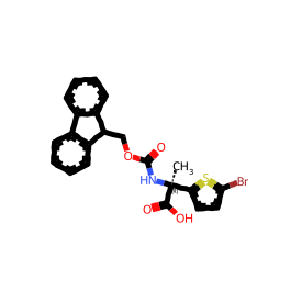 C[C@@](NC(=O)OCC1c2ccccc2-c2ccccc21)(C(=O)O)c1ccc(Br)s1